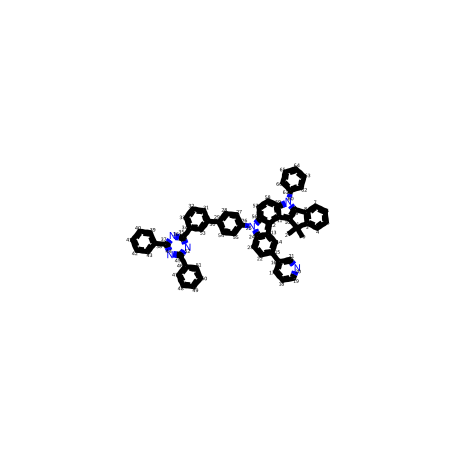 CC1(C)c2ccccc2-c2c1c1c3c4cc(-c5cccnc5)ccc4n(-c4ccc(-c5cccc(-c6nc(-c7ccccc7)nc(-c7ccccc7)n6)c5)cc4)c3ccc1n2-c1ccccc1